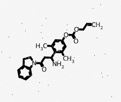 C=CCOC(=O)Oc1cc(C)c(C(N)CC(=O)N2CCc3ccccc32)c(C)c1